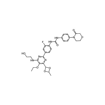 CCOc1c(NCCO)nc(-c2ccc(NC(=O)Nc3ccc(N4CCOCC4=O)cc3)c(F)c2)nc1C1OC(C)O1